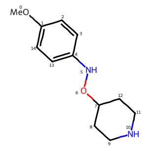 COc1ccc(NOC2CCNCC2)cc1